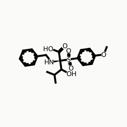 COc1ccc(S(=O)(=O)[C@@](NCc2ccccc2)(C(=O)O)C(O)C(C)C)cc1